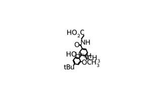 CC(C)(C)c1cc(O)c2c(c1)OC(C)(C)[C@@H]1CC=C(C(=O)NCCC(=O)O)C[C@@H]21